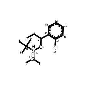 CCC(O[SiH]([SiH](C)C)C(C)(C)C)c1ccccc1Cl